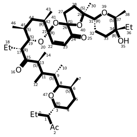 CCC(C(C)=O)[C@H]1CC[C@H](C)C([C@@H](C)C(C)[C@H](C)C(=O)[C@H](CC)[C@H]2O[C@]3(C=CC(=O)[C@]4(CC[C@@](C)([C@H]5CC[C@](O)(CC)[C@H](C)O5)O4)O3)[C@H](C)C[C@@H]2C)O1